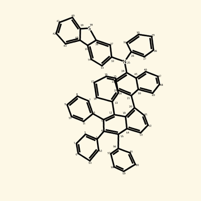 c1ccc(-c2c(-c3ccccc3)c(-c3ccccc3)c3c(-c4ccc(N(c5ccccc5)c5ccc6c(c5)sc5ccccc56)c5ccccc45)cccc3c2-c2ccccc2)cc1